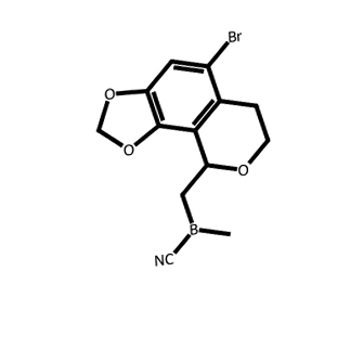 CB(C#N)CC1OCCc2c(Br)cc3c(c21)OCO3